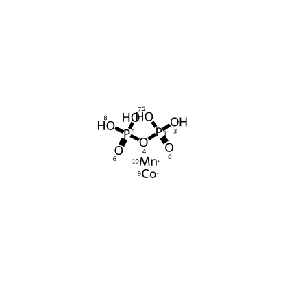 O=P(O)(O)OP(=O)(O)O.[Co].[Mn]